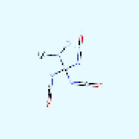 CN(C)[Si](N=C=O)(N=C=O)N=C=O